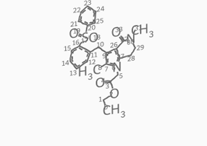 CCOC(=O)Cn1c(C)c(Cc2ccccc2S(=O)(=O)c2ccccc2)c2c1CCN(C)C2=O